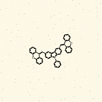 C(=C1c2ccccc2Oc2ccccc21)c1ccc2c(c1)c1cc(C=C3c4ccccc4Oc4ccccc43)ccc1p2-c1ccccc1